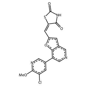 COc1ncc(-c2cncc3cc(C=C4SC(=O)NC4=O)oc23)cc1Cl